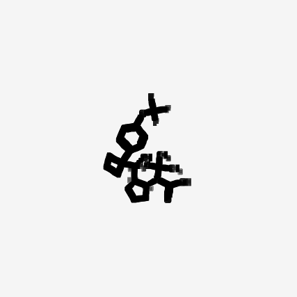 CC(C)(C)N(C(=O)O)[C@H]1CCC[C@H]1[C@@H](O)C1(c2ccc(OC(F)(F)F)cc2)CCC1